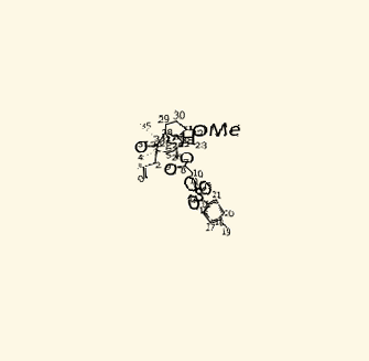 C=CC[C@]1(C)C[C@@H](OC(=O)COS(=O)(=O)c2ccc(C)cc2)[C@]2(C)[C@H](C)CC[C@]3(CC[C@@H](OC)[C@@H]32)[C@@H](C)C1=O